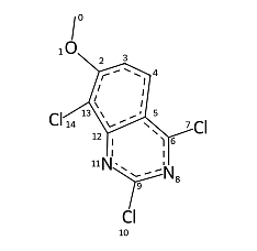 COc1ccc2c(Cl)nc(Cl)nc2c1Cl